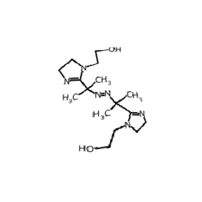 CC(C)(N=NC(C)(C)C1=NCCN1CCO)C1=NCCN1CCO